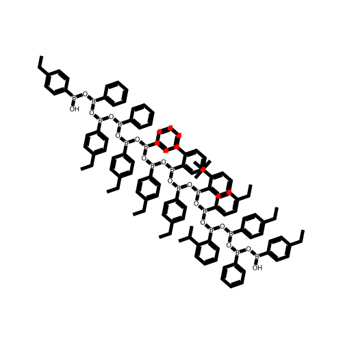 CCc1ccc(B(O)OB(OB(OB(OB(OB(OB(OB(OB(OB(OB(OB(OB(OB(OB(O)c2ccc(CC)cc2)c2ccccc2)c2ccc(CC)cc2)c2ccccc2C(C)C)c2ccc(CC)cc2)c2ccccc2C(C)(C)C)c2ccc(CC)cc2)c2ccccc2C2CCCCC2)c2ccc(CC)cc2)c2ccccc2)c2ccc(CC)cc2)c2ccccc2)c2ccc(CC)cc2)c2ccccc2)cc1